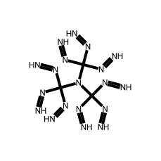 N=NC(N=N)(N=N)N(C(N=N)(N=N)N=N)C(N=N)(N=N)N=N